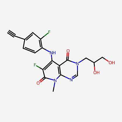 C#Cc1ccc(Nc2c(F)c(=O)n(C)c3ncn(CC(O)CO)c(=O)c23)c(F)c1